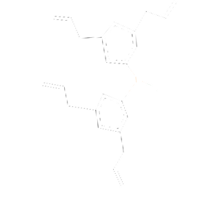 C=CCc1cc(CC=C)cc(P(Cl)c2cc(CC=C)cc(CC=C)c2)c1